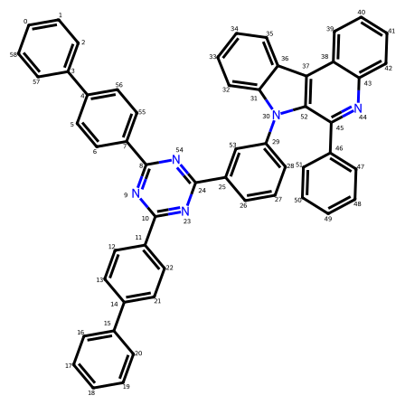 c1ccc(-c2ccc(-c3nc(-c4ccc(-c5ccccc5)cc4)nc(-c4cccc(-n5c6ccccc6c6c7ccccc7nc(-c7ccccc7)c65)c4)n3)cc2)cc1